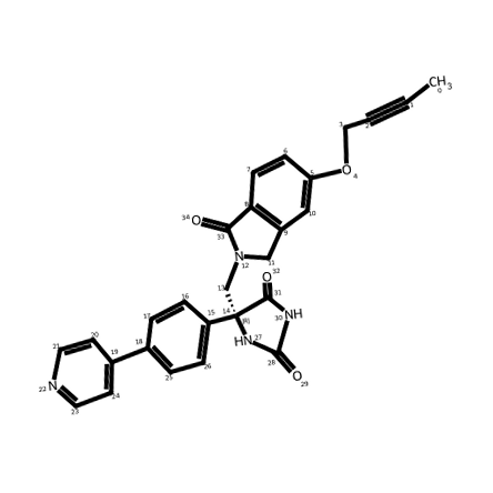 CC#CCOc1ccc2c(c1)CN(C[C@@]1(c3ccc(-c4ccncc4)cc3)NC(=O)NC1=O)C2=O